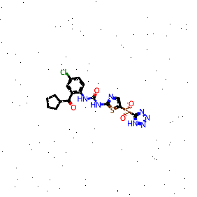 O=C(Nc1ncc(S(=O)(=O)c2nnn[nH]2)s1)Nc1ccc(Cl)cc1C(=O)C1CCCC1